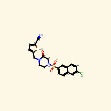 N#Cc1ccc(CN2CCN(S(=O)(=O)c3ccc4cc(Cl)ccc4c3)CC2=O)s1